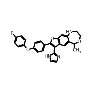 CC1OCCNc2cc3oc(-c4ccc(Oc5ccc(F)cc5)cc4)c(-c4ncc[nH]4)c3cc21